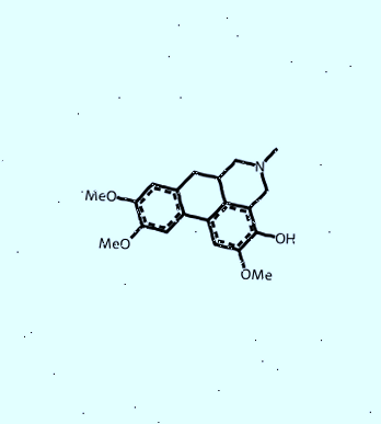 COc1cc2c(cc1OC)-c1cc(OC)c(O)c3c1C(C2)CN(C)C3